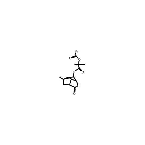 CC(C)C(=O)OC(C)(C)C(=O)OC1C2OC(=O)C3CC1(C)CC32